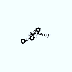 Cc1nc2c(OCC3CCCCC3)cccn2c1C(=O)N[C@@H](CCC(=O)O)c1ccccc1